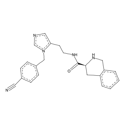 N#Cc1ccc(Cn2cncc2CCNC(=O)[C@@H]2Cc3ccccc3CN2)cc1